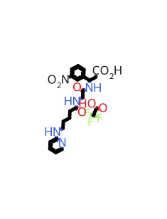 O=C(O)C(F)(F)F.O=C(O)CC(NC(=O)CNC(=O)CCCCNc1ccccn1)c1cccc([N+](=O)[O-])c1